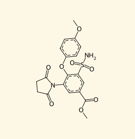 COC(=O)c1cc(N2C(=O)CCC2=O)c(Oc2ccc(OC)cc2)c(S(N)(=O)=O)c1